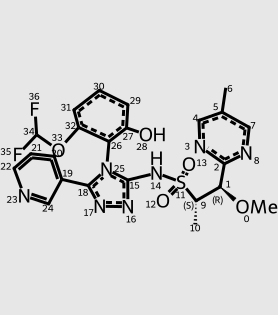 CO[C@H](c1ncc(C)cn1)[C@H](C)S(=O)(=O)Nc1nnc(C2=C=C=CN=C2)n1-c1c(O)cccc1OC(F)F